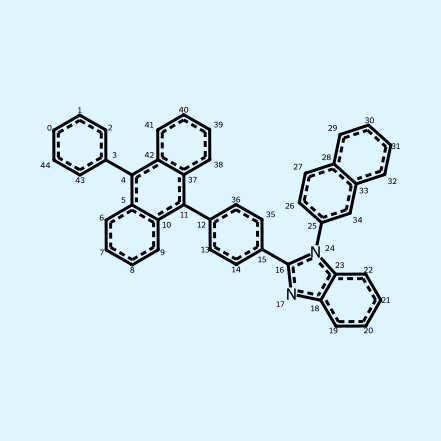 c1ccc(-c2c3ccccc3c(-c3ccc(-c4nc5ccccc5n4-c4ccc5ccccc5c4)cc3)c3ccccc23)cc1